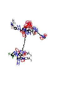 Cc1ncsc1-c1ccc(CNC(=O)[C@@H]2C[C@@H](OP(=O)(O)OP(=O)(O)OCCNC(=O)CCCCCN3C(=O)C=CC3=O)CN2C(=O)[C@@H](NC(=O)CCCCCCCCCCNC(=O)c2cc3c(cc2CS(C)(=O)=O)-c2cn(C)c(=O)c4[nH]cc(c24)CN3c2ncc(F)cc2F)C(C)(C)C)cc1